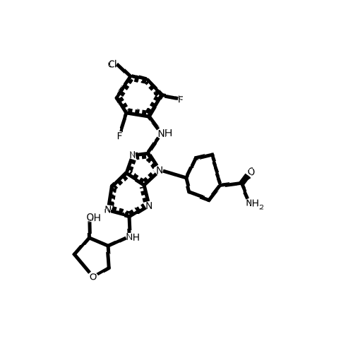 NC(=O)C1CCC(n2c(Nc3c(F)cc(Cl)cc3F)nc3cnc(NC4COCC4O)nc32)CC1